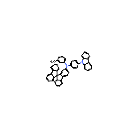 Cc1cccc(N(c2ccc(-n3c4ccccc4c4ccccc43)cc2)c2ccc3c(c2)C2(c4ccccc4-c4ccccc42)c2ccccc2-3)c1